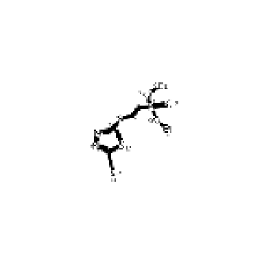 CCOP(=O)(CCSc1nnc(S)s1)OCC